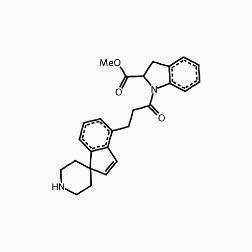 COC(=O)C1Cc2ccccc2N1C(=O)CCc1cccc2c1C=CC21CCNCC1